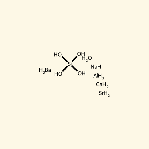 O.O[Si](O)(O)O.[AlH3].[BaH2].[CaH2].[NaH].[SrH2]